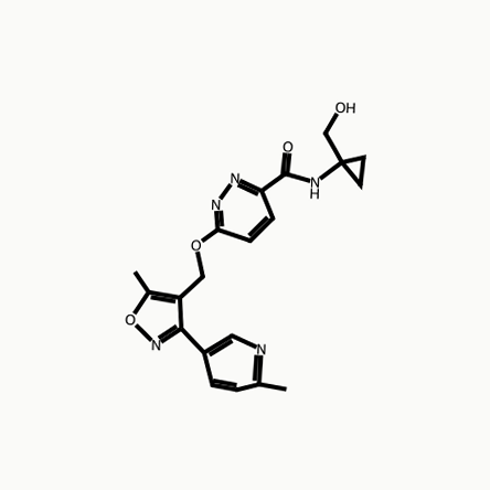 Cc1ccc(-c2noc(C)c2COc2ccc(C(=O)NC3(CO)CC3)nn2)cn1